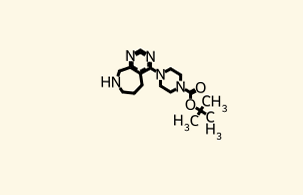 CC(C)(C)OC(=O)N1CCN(c2ncnc3c2CCCNC3)CC1